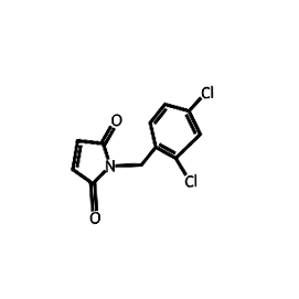 O=C1C=CC(=O)N1Cc1ccc(Cl)cc1Cl